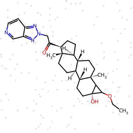 CCOC1C2[C@]1(O)CC[C@@H]1[C@H]3CC[C@]4(C)[C@@H](C(=O)Cn5nc6ccncc6n5)CC[C@H]4[C@@H]3CC[C@@]21C